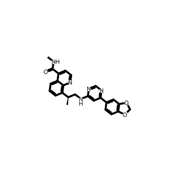 CNC(=O)c1ccnc2c([C@H](C)CNc3cc(-c4ccc5c(c4)OCO5)ncn3)cccc12